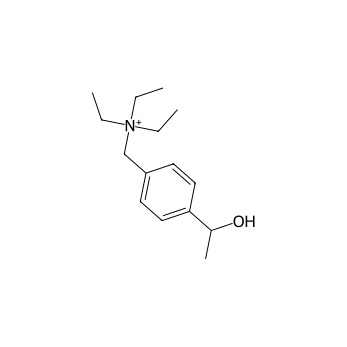 CC[N+](CC)(CC)Cc1ccc(C(C)O)cc1